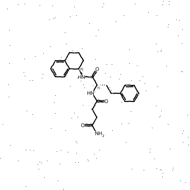 NC(=O)CCC(=O)N[C@@H](CCc1ccccc1)C(=O)N[C@@H]1CCCc2ccccc21